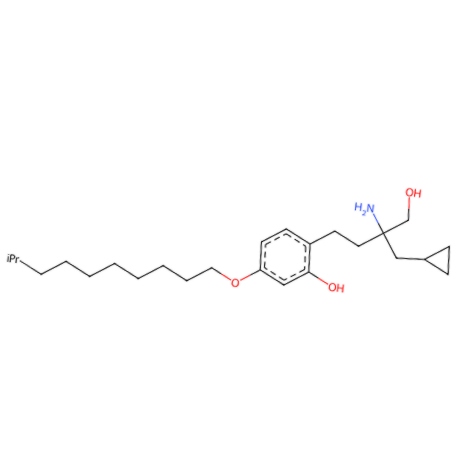 CC(C)CCCCCCCCOc1ccc(CCC(N)(CO)CC2CC2)c(O)c1